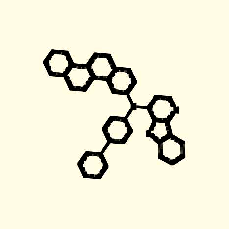 c1ccc(-c2ccc(N(c3ccc4ccc5c6ccccc6ccc5c4c3)c3ccnc4c3sc3ccccc34)cc2)cc1